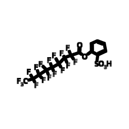 O=C(Oc1ccccc1S(=O)(=O)O)C(F)(F)C(F)(F)C(F)(F)C(F)(F)C(F)(F)C(F)(F)C(F)(F)C(F)(F)F